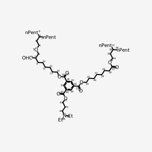 CCCCCC(CCCCC)CCOCC(C=O)CCCCCCOC(=O)c1cc(C(=O)OCCCCCCCC(=O)OCCC(CCCCC)CCCCC)cc(C(=O)OCCCN(CC)CC)c1